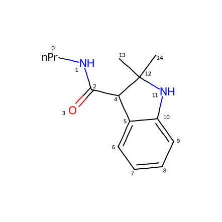 CCCNC(=O)C1c2ccccc2NC1(C)C